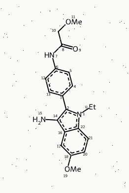 CCn1c(-c2ccc(NC(=O)COC)cc2)c(N)c2cc(OC)ccc21